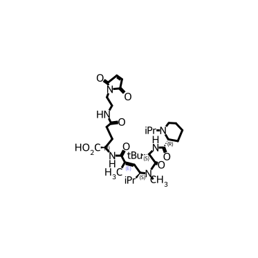 C/C(=C\[C@H](C(C)C)N(C)C(=O)[C@@H](NC(=O)[C@H]1CCCCN1C(C)C)C(C)(C)C)C(=O)N[C@H](CCC(=O)NCCN1C(=O)C=CC1=O)C(=O)O